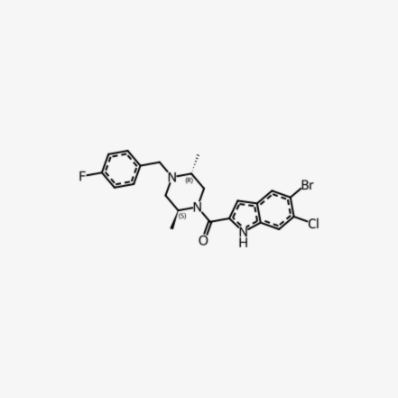 C[C@@H]1CN(C(=O)c2cc3cc(Br)c(Cl)cc3[nH]2)[C@@H](C)CN1Cc1ccc(F)cc1